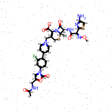 CO/N=C(/C(=O)N[C@@H]1C(=O)N2C(C(=O)[O-])=C(C[n+]3ccc(-c4ccc(-n5cc(CNC(C)=O)oc5=O)cc4F)cc3)CS[C@@H]12)c1nc(N)cs1